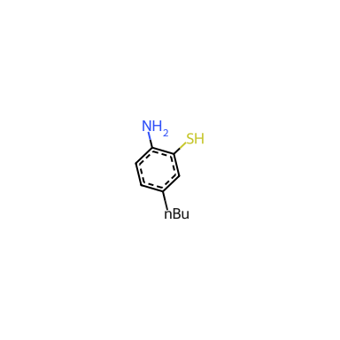 CCCCc1ccc(N)c(S)c1